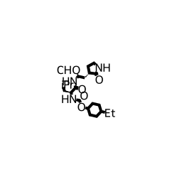 CCC1CCC(OC(=O)N[C@@H](CC(C)C)C(=O)N[C@H](C=O)C[C@@H]2CCNC2=O)CC1